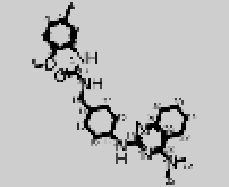 COc1ccc(C)cc1NC(=O)NCC1CCC(Nc2nc3c(c(N(C)C)n2)CCCC3)CC1